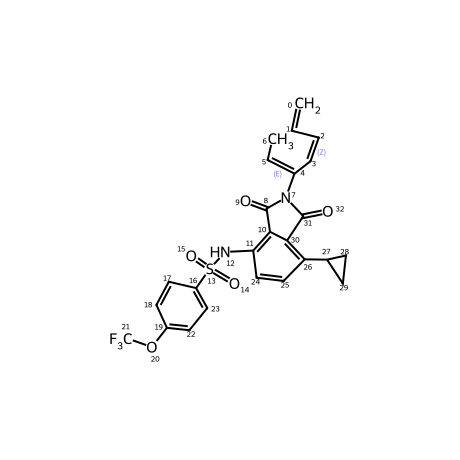 C=C/C=C\C(=C/C)N1C(=O)c2c(NS(=O)(=O)c3ccc(OC(F)(F)F)cc3)ccc(C3CC3)c2C1=O